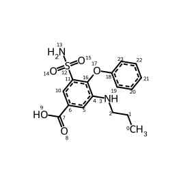 CCCNc1cc(C(=O)O)cc(S(N)(=O)=O)c1Oc1ccccc1